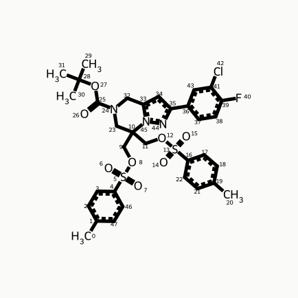 Cc1ccc(S(=O)(=O)OCC2(COS(=O)(=O)c3ccc(C)cc3)CN(C(=O)OC(C)(C)C)Cc3cc(-c4ccc(F)c(Cl)c4)nn32)cc1